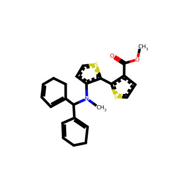 COC(=O)c1ccsc1-c1sccc1N(C)C(C1=CCCC=C1)C1=CC=CCC1